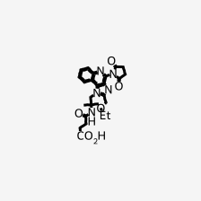 CCOCc1nc2c(N3C(=O)CCC3=O)nc3ccccc3c2n1CC(C)(C)NC(=O)CCC(=O)O